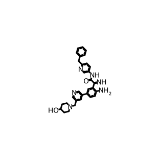 N=C(C(=O)Nc1ccc(Cc2ccccc2)nc1)c1cc(-c2cncc(CN3CCC(O)CC3)c2)ccc1N